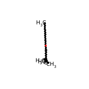 CCCCCCCCCCCCCCCCCCCCCCCCCCCCCCCCCCC(CC)(CCCC)C(=O)O